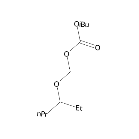 CCCC(CC)OCOC(=O)OCC(C)C